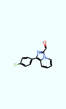 O=Cc1nc(-c2ccc(F)cc2)c2ccccn12